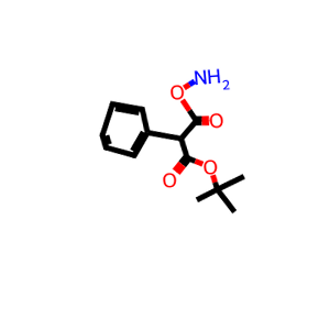 CC(C)(C)OC(=O)C(C(=O)ON)c1ccccc1